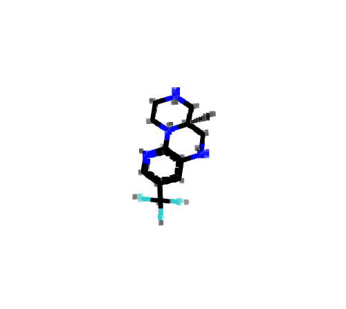 FC(F)(F)c1cnc2c(c1)NC[C@@H]1CNCCN21